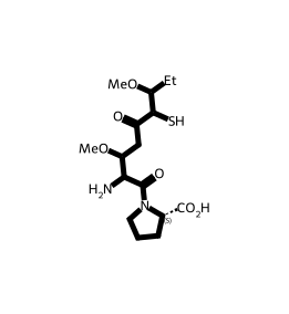 CCC(OC)C(S)C(=O)CC(OC)C(N)C(=O)N1CCC[C@H]1C(=O)O